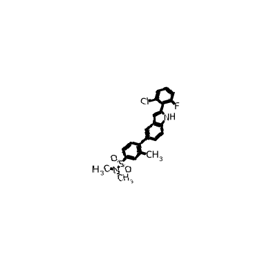 Cc1cc(S(=O)(=O)N(C)C)ccc1-c1ccc2[nH]c(-c3c(F)cccc3Cl)cc2c1